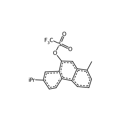 Cc1cccc2c1cc(OS(=O)(=O)C(F)(F)F)c1cc(C(C)C)ccc12